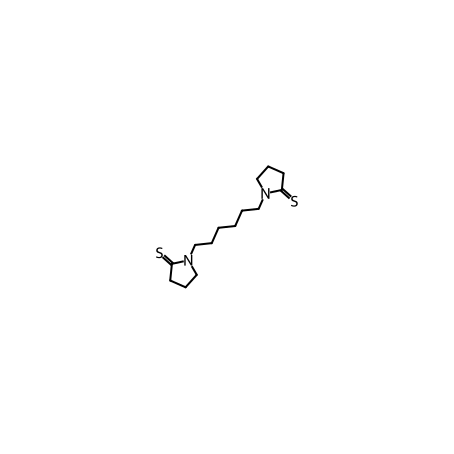 S=C1CCCN1CCCCCCN1CCCC1=S